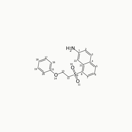 Nc1ccc2cccc(S(=O)(=O)CCOc3ccccc3)c2c1